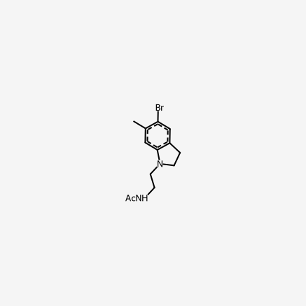 CC(=O)NCCN1CCc2cc(Br)c(C)cc21